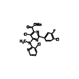 COC(=O)c1nc(-c2ccc(Cl)c(F)c2)nc(N(C)c2ncccc2Cl)c1Cl